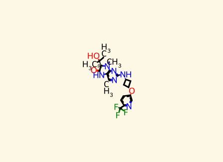 CCC(C)(O)[C@@H]1C(=O)Nc2c(C)nc(N[C@H]3C[C@H](Oc4ccc(C(F)(F)F)nc4)C3)nc2N1C